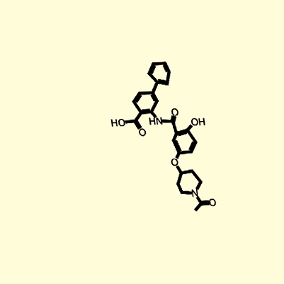 CC(=O)N1CCC(Oc2ccc(O)c(C(=O)Nc3cc(-c4ccccc4)ccc3C(=O)O)c2)CC1